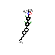 CCCCCC1CCC2CC(c3cc(F)c(-c4ccc(C5=NC(C)(C)CO5)c(F)c4)c(F)c3)CCC2C1